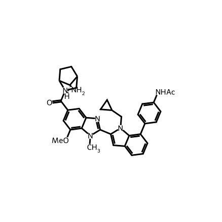 COc1cc(C(=O)N2CC3CCC2[C@@H]3N)cc2nc(-c3cc4cccc(-c5ccc(NC(C)=O)cc5)c4n3CC3CC3)n(C)c12